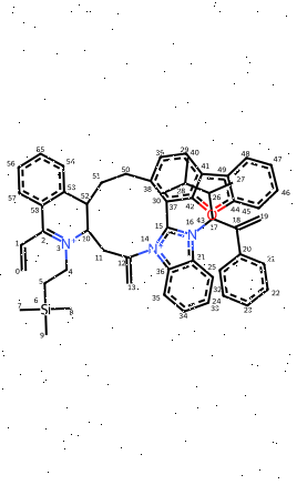 C=CC1=[N+](CC[Si](C)(C)C)C2CC(=C)[n+]3c(n(C(C(=C)c4ccccc4)C(C)C(C)C)c4ccccc43)-c3c(ccc4c3oc3ccccc34)CCC2c2ccccc21